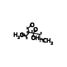 C=CCC1(O)OOCC1C=C